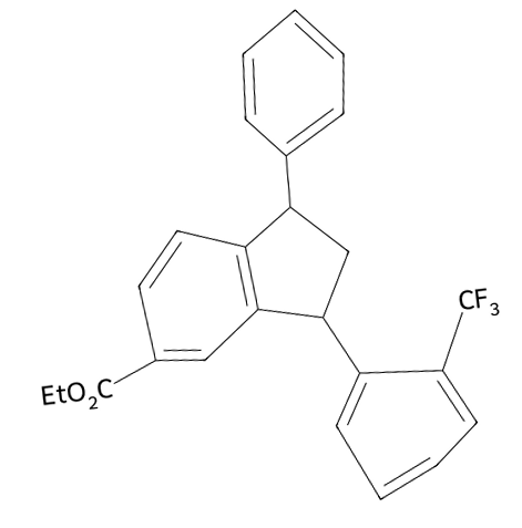 CCOC(=O)c1ccc2c(c1)C(c1ccccc1C(F)(F)F)CC2c1ccccc1